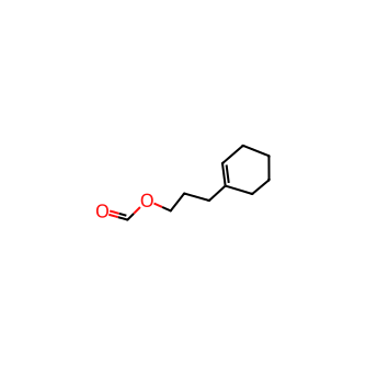 O=COCCCC1=CCCCC1